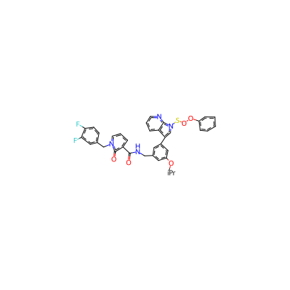 CC(C)Oc1cc(CNC(=O)c2cccn(Cc3ccc(F)c(F)c3)c2=O)cc(-c2cn(SOOc3ccccc3)c3ncccc23)c1